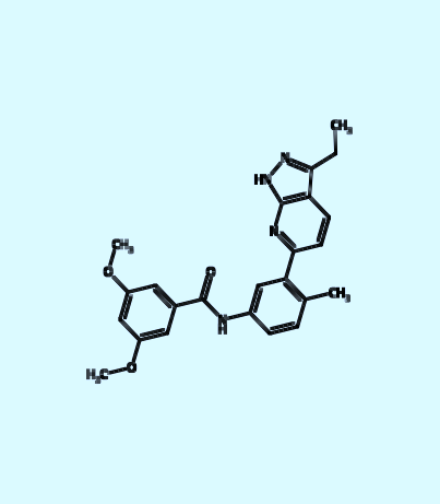 CCc1n[nH]c2nc(-c3cc(NC(=O)c4cc(OC)cc(OC)c4)ccc3C)ccc12